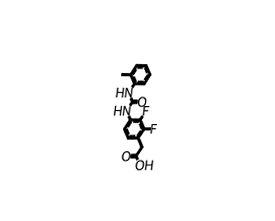 Cc1ccccc1NC(=O)Nc1ccc(CC(=O)O)c(F)c1F